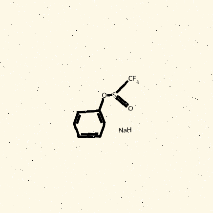 O=S(Oc1ccccc1)C(F)(F)F.[NaH]